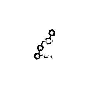 CCOc1ccccc1-c1ccc(CN2CCOC(c3ccccc3)C2)cc1